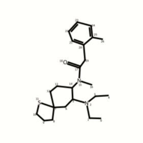 CCN(CC)C1CC2(CCCS2)CCC1N(C)C(=O)Cc1ccccc1C